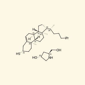 CC(C)CCC[C@@H](C)[C@H]1CC[C@H]2[C@@H]3CC=C4C[C@@H](S)CC[C@]4(C)[C@H]3CC[C@]12C.OC[C@@H]1C[C@@H](O)CN1